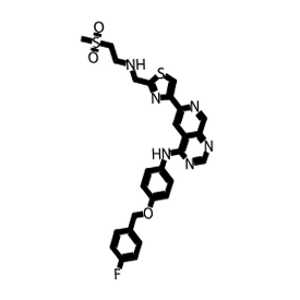 CS(=O)(=O)CCNCc1nc(-c2cc3c(Nc4ccc(OCc5ccc(F)cc5)cc4)ncnc3cn2)cs1